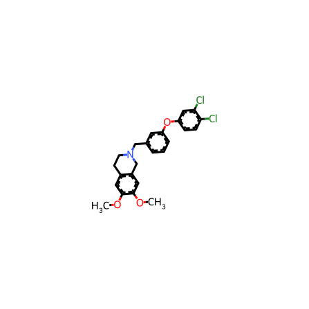 COc1cc2c(cc1OC)CN(Cc1cccc(Oc3ccc(Cl)c(Cl)c3)c1)CC2